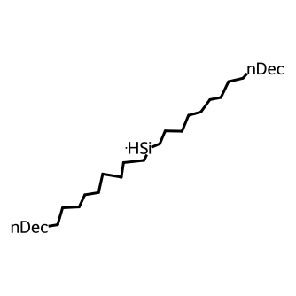 CCCCCCCCCCCCCCCCCCC[SiH]CCCCCCCCCCCCCCCCCCC